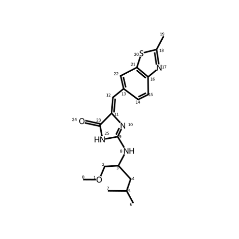 COCC(CC(C)C)NC1=N/C(=C\c2ccc3nc(C)sc3c2)C(=O)N1